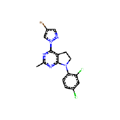 Cc1nc2c(c(-n3cc(Br)cn3)n1)CCN2c1ccc(Cl)cc1Cl